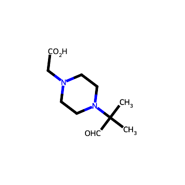 CC(C)(C=O)N1CCN(CC(=O)O)CC1